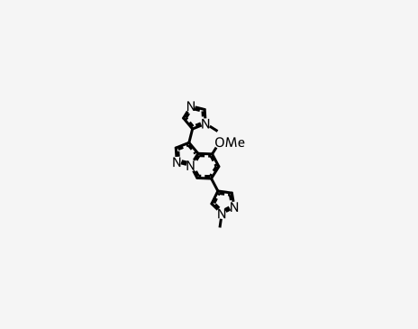 COc1cc(-c2cnn(C)c2)cn2ncc(-c3cncn3C)c12